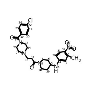 Cc1cc(NC2CCN(C(=O)CCN3CCN(C(=O)c4ccc(Cl)cc4)CC3)CC2)ccc1[N+](=O)[O-]